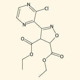 CCOC(=O)C1ON=C(c2nccnc2Cl)C1C(=O)OCC